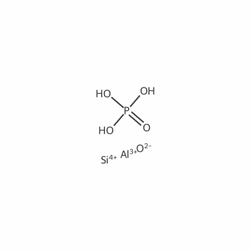 O=P(O)(O)O.[Al+3].[O-2].[Si+4]